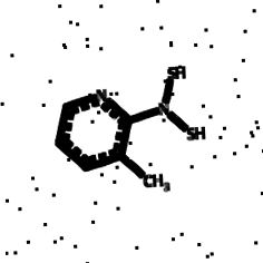 Cc1cccnc1N(S)S